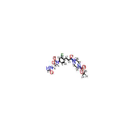 CC(=O)NC[C@H]1CN(c2ccc(/C=C/C(=O)N3CCN(C(=O)OC(C)(C)C)CC3)c(F)c2)C(=O)O1